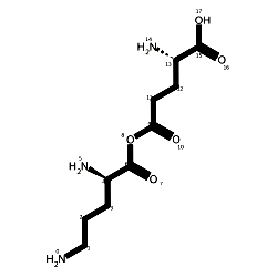 NCCC[C@@H](N)C(=O)OC(=O)CC[C@H](N)C(=O)O